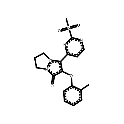 Cc1ccccc1Oc1c(-c2ccnc(S(C)(=O)=O)n2)n2n(c1=O)CCC2